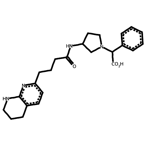 O=C(CCCc1ccc2c(n1)NCCC2)NC1CCN(C(C(=O)O)c2ccccc2)C1